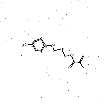 C=C(C)C(=O)OCOCOc1ccc(Br)cc1